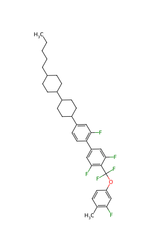 CCCCCC1CCC(C2CCC(c3ccc(-c4cc(F)c(C(F)(F)Oc5ccc(C)c(F)c5)c(F)c4)c(F)c3)CC2)CC1